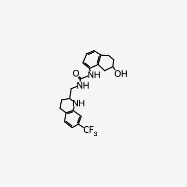 O=C(NCC1CCc2ccc(C(F)(F)F)cc2N1)Nc1cccc2c1CC(O)CC2